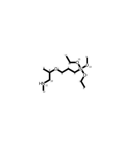 CCO[Si](CCCOC(C)CNC)(OC)OCC